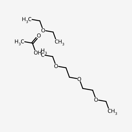 CC(=O)O.CCOCC.CCOCCOCCOCC